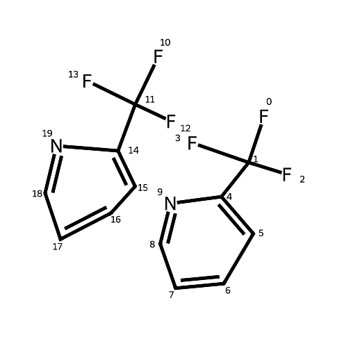 FC(F)(F)c1ccccn1.FC(F)(F)c1ccccn1